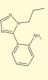 CCCn1ncnc1-c1ccccc1N